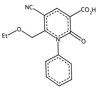 CCOCc1c(C#N)cc(C(=O)O)c(=O)n1-c1ccccc1